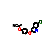 CC(C#N)Oc1ccc(Oc2cnc3cc(Cl)ccc3c2)cc1